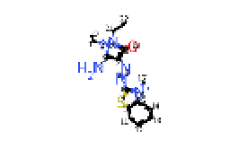 CCn1c(N)c(/N=N/c2sc3ccccc3[n+]2C)c(=O)n1CC